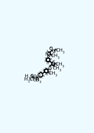 CCOC(=O)c1cnn(-c2cccc(-c3sc(C)c(C)c3COc3ccc(C4CCN(C(=O)OC(C)(C)C)CC4)cc3C)c2)c1C